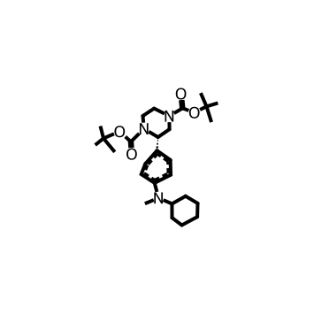 CN(c1ccc([C@H]2CN(C(=O)OC(C)(C)C)CCN2C(=O)OC(C)(C)C)cc1)C1CCCCC1